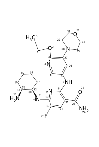 CCOc1ncc(Nc2nc(N[C@@H]3CCCC[C@@H]3N)c(F)cc2C(N)=O)cc1N1CCOCC1